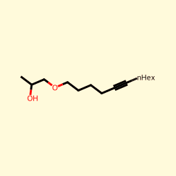 CCCCCCC#CCCCCOCC(C)O